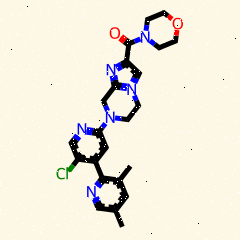 Cc1cnc(-c2cc(N3CCn4cc(C(=O)N5CCOCC5)nc4C3)ncc2Cl)c(C)c1